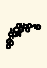 C[C@]12CC[C@H](OC(=O)OCCN3CCCC3)C[C@@]1(O)CC[C@@H]1[C@@H]2CC[C@]2(C)[C@@H](c3ccc(=O)oc3)CC[C@]12O